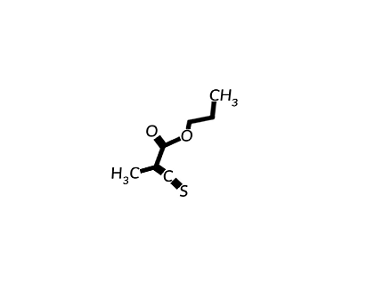 CCCOC(=O)C(C)=C=S